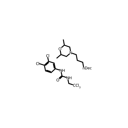 CCCCCCCCCCCCCN1CC(C)OC(C)C1.O=C(NCC(Cl)(Cl)Cl)Nc1ccc(Cl)c(Cl)c1